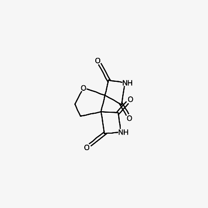 O=C1NC(=O)C12CCOC21C(=O)NC1=O